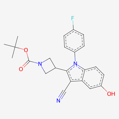 CC(C)(C)OC(=O)N1CC(c2c(C#N)c3cc(O)ccc3n2-c2ccc(F)cc2)C1